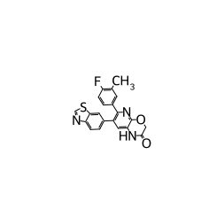 Cc1cc(-c2nc3c(cc2-c2ccc4ncsc4c2)NC(=O)CO3)ccc1F